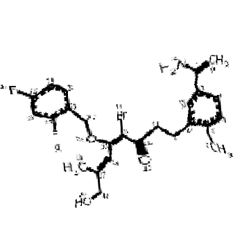 C=C(N)c1ccc(C)c(CCC(=O)/C(Br)=C(\C=C(/C)CO)OCc2ccc(F)cc2F)c1